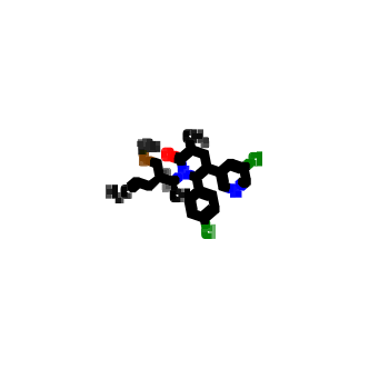 C=CC[C@@H](CSC(C)(C)C)[C@@H](C)N1C(=O)C(C)CC(c2cncc(Cl)c2)C1c1ccc(Cl)cc1